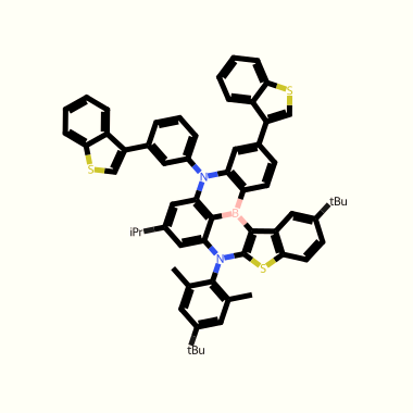 Cc1cc(C(C)(C)C)cc(C)c1N1c2cc(C(C)C)cc3c2B(c2ccc(-c4csc5ccccc45)cc2N3c2cccc(-c3csc4ccccc34)c2)c2c1sc1ccc(C(C)(C)C)cc21